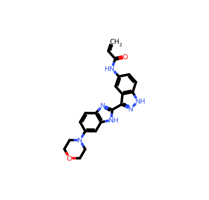 C=CC(=O)Nc1ccc2[nH]nc(-c3nc4ccc(N5CCOCC5)cc4[nH]3)c2c1